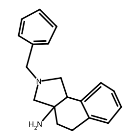 NC12CCc3ccccc3C1CN(Cc1ccccc1)C2